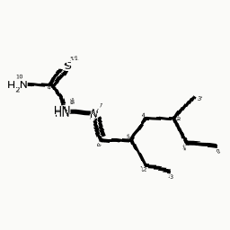 CCC(C)CC(/C=N/NC(N)=S)CC